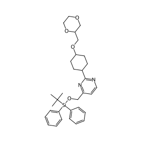 CC(C)(C)[Si](OCc1ccnc(C2CCC(OCC3COCCO3)CC2)n1)(c1ccccc1)c1ccccc1